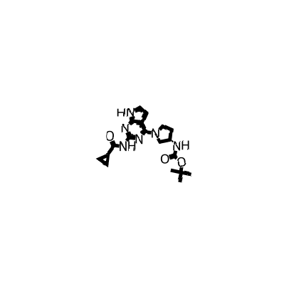 CC(C)(C)OC(=O)N[C@H]1CCN(c2nc(NC(=O)C3CC3)nc3[nH]ccc23)C1